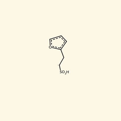 O=S(=O)(O)[CH]Cc1ccco1